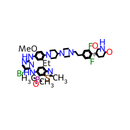 CCc1cc(Nc2ncc(Br)c(Nc3ccc4nc(C)sc4c3P(C)(C)=O)n2)c(OC)cc1N1CCC(N2CCN(CCc3cc(F)c([C@H]4CCC(=O)NC4=O)c(F)c3)CC2)CC1